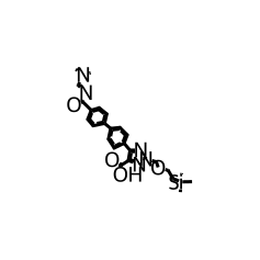 CN(C)C=NC(=O)c1ccc(-c2ccc(-c3nn(COCC[Si](C)(C)C)nc3C(=O)O)cc2)cc1